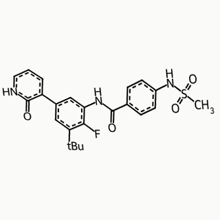 CC(C)(C)c1cc(-c2ccc[nH]c2=O)cc(NC(=O)c2ccc(NS(C)(=O)=O)cc2)c1F